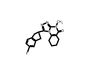 Cn1c(=O)c2c(n3c(C4Cc5ccc(F)cc5C4)nnc13)CCCC2